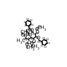 COOC(C)[C@H](OOC)[C@@H](OOC)[C@@H](OOC)[C@H](OCc1ccccc1)[C@H](COCc1ccccc1)OOC